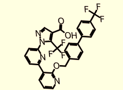 O=C(O)c1cnn(-c2cccc(-c3cccnc3OCc3ccc(-c4ccc(C(F)(F)F)cc4)cc3)n2)c1C(F)(F)F